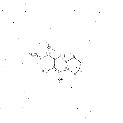 C=C[C@H](C)C(O)C(C)C(O)C1CCCCC1